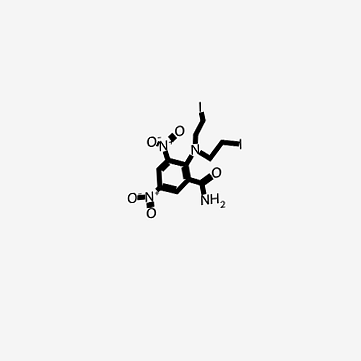 NC(=O)c1cc([N+](=O)[O-])cc([N+](=O)[O-])c1N(CCI)CCI